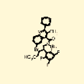 Cc1c(-c2ccccc2)nc2ccc(Br)cc2c1C(=O)N(CC(CCC(=O)O)c1c(F)c(F)cc(F)c1F)C(C)(C)C